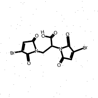 O=C(O)C(CN1C(=O)C=C(Br)C1=O)N1C(=O)C=C(Br)C1=O